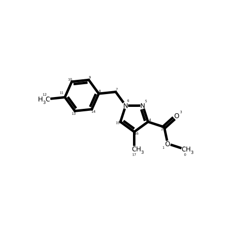 COC(=O)c1nn(Cc2ccc(C)cc2)cc1C